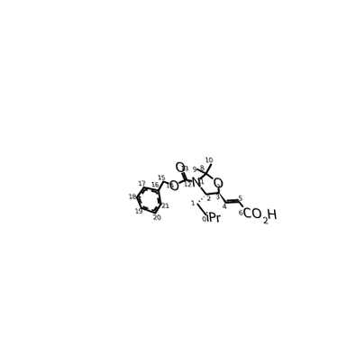 CC(C)C[C@H]1[C@H](/C=C/C(=O)O)OC(C)(C)N1C(=O)OCc1ccccc1